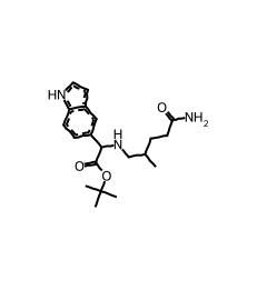 CC(CCC(N)=O)CNC(C(=O)OC(C)(C)C)c1ccc2[nH]ccc2c1